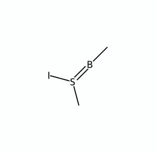 CB=S(C)I